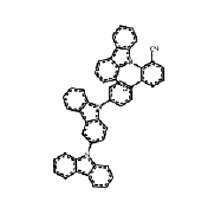 N#Cc1cccc(-c2ccc(-n3c4ccccc4c4cc(-n5c6ccccc6c6ccccc65)ccc43)cc2)c1-n1c2ccccc2c2cccc(C#N)c21